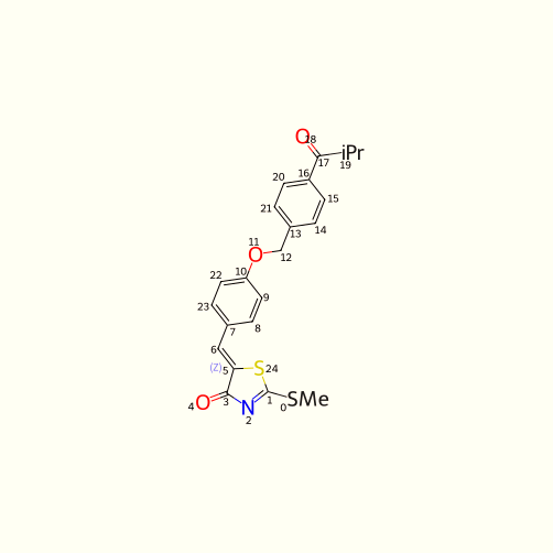 CSC1=NC(=O)/C(=C/c2ccc(OCc3ccc(C(=O)C(C)C)cc3)cc2)S1